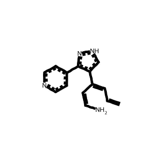 C=C/C=C(\C=C/N)c1c[nH]nc1-c1ccncc1